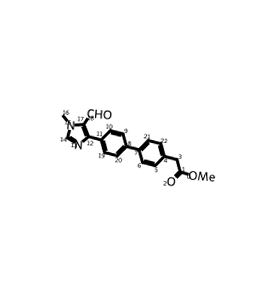 COC(=O)Cc1ccc(-c2ccc(-c3ncn(C)c3C=O)cc2)cc1